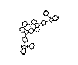 c1ccc(N(c2cccc3c2c2ccccc2n3-c2ccc(-c3nc4ccccc4n3-c3ccccc3)cc2)c2cccc3c2c2ccccc2n3-c2ccc(-c3nc4ccccc4n3-c3ccccc3)cc2)cc1